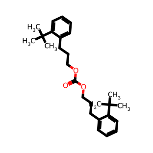 CC(C)(C)c1ccccc1CCCOC(=O)OCCCc1ccccc1C(C)(C)C